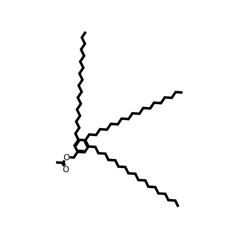 CCCCCCCCCCCCCCCCCCc1cc(COC(C)=O)cc(CCCCCCCCCCCCCCCCCC)c1CCCCCCCCCCCCCCCCCC